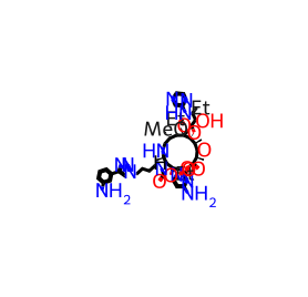 CCO[C@@H](O[C@@H]1[C@@H](C)C(=O)[C@@H](C)C(=O)O[C@H](CC)[C@@]2(n3ccc(N)nc3=O)OC(=O)N(CCCCn3cc(-c4cccc(N)c4)nn3)[C@@H]2[C@@H](C)NC[C@H](C)C[C@@]1(C)OC)C(O)C(CC)Nc1cnccn1